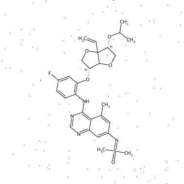 C=CC12OC[C@@H](Oc3cc(F)ccc3Nc3ncnc4cc(N=S(C)(C)=O)cc(C)c34)C1OC[C@H]2OC(C)C